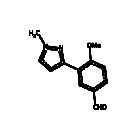 COc1ccc(C=O)cc1-c1ccn(C)n1